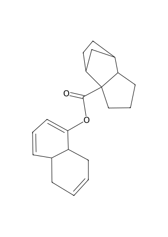 O=C(OC1=CC=CC2CC=CCC12)C12CCCC1C1CCC2C1